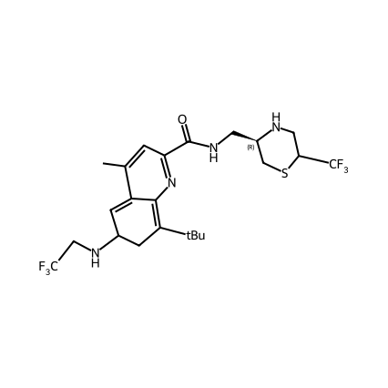 Cc1cc(C(=O)NC[C@@H]2CSC(C(F)(F)F)CN2)nc2c1=CC(NCC(F)(F)F)CC=2C(C)(C)C